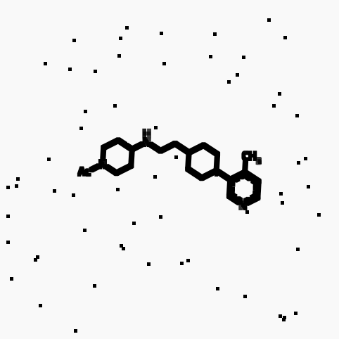 CC(=O)N1CCC(NCCC2CCC(c3cnccc3C)CC2)CC1